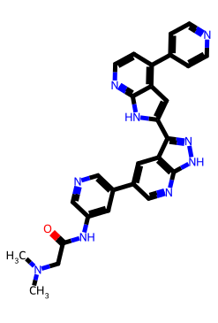 CN(C)CC(=O)Nc1cncc(-c2cnc3[nH]nc(-c4cc5c(-c6ccncc6)ccnc5[nH]4)c3c2)c1